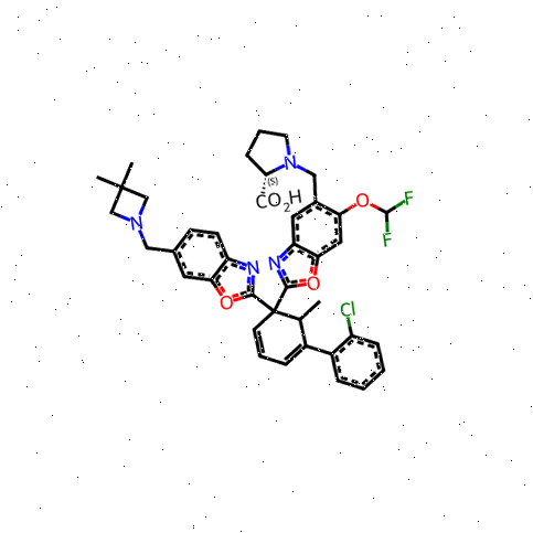 CC1C(c2ccccc2Cl)=CC=CC1(c1nc2ccc(CN3CC(C)(C)C3)cc2o1)c1nc2cc(CN3CCC[C@H]3C(=O)O)c(OC(F)F)cc2o1